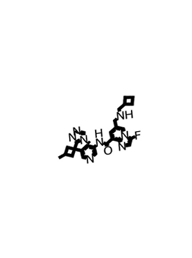 CC1CC(c2cncc(NC(=O)c3cc(CNCC4CCC4)cn4c(F)cnc34)c2)(c2nncn2C)C1